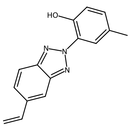 C=Cc1ccc2nn(-c3cc(C)ccc3O)nc2c1